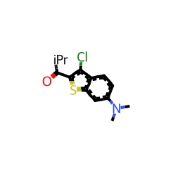 CC(C)C(=O)c1sc2cc(N(C)C)ccc2c1Cl